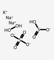 O=S(=O)([O-])[O-].O=S([O-])O.OO.[K+].[Na+].[Na+]